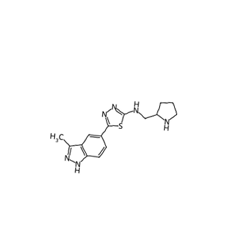 Cc1n[nH]c2ccc(-c3nnc(NCC4CCCN4)s3)cc12